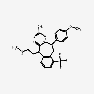 CNCCN1C(=O)[C@H](OC(C)=O)C(c2ccc(OC)cc2)Cc2c1cccc2C(F)(F)F